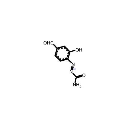 NC(=O)/N=N/c1ccc(C=O)cc1O